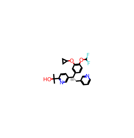 CC(C)(O)c1ccc([C@@H](Cc2cccnc2)c2ccc(OC(F)F)c(OC3CC3)c2)cn1